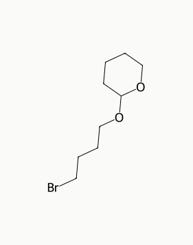 BrCCCCOC1CCCCO1